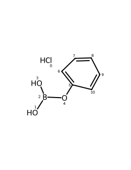 Cl.OB(O)Oc1ccccc1